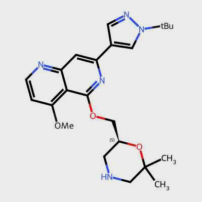 COc1ccnc2cc(-c3cnn(C(C)(C)C)c3)nc(OC[C@@H]3CNCC(C)(C)O3)c12